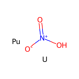 O=[N+]([O-])O.[Pu].[U]